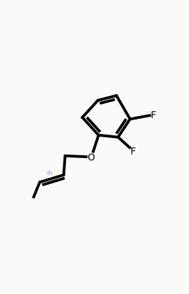 C/C=C/COc1cccc(F)c1F